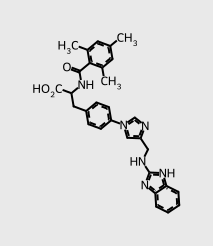 Cc1cc(C)c(C(=O)NC(Cc2ccc(-n3cnc(CNc4nc5ccccc5[nH]4)c3)cc2)C(=O)O)c(C)c1